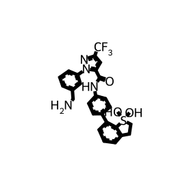 NCc1cccc(-n2nc(C(F)(F)F)cc2C(=O)Nc2ccc(-c3cccc4c3S(O)(O)CC4)cc2)c1